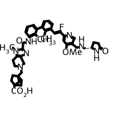 COc1cc(/C(F)=C/c2cccc(-c3cccc(NC(=O)c4nc5c(n4C)CCN(CC46CCC(C(=O)O)(CC4)C6)C5)c3C)c2C)ncc1CNC[C@@H]1CCC(=O)N1